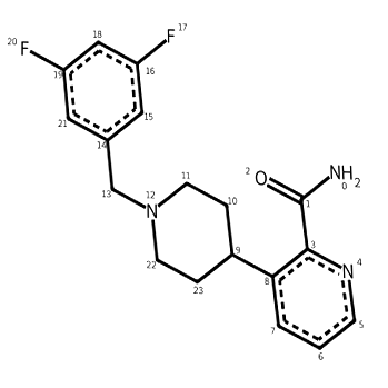 NC(=O)c1ncccc1C1CCN(Cc2cc(F)cc(F)c2)CC1